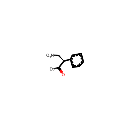 CCC(=O)[C@@H](C[N+](=O)[O-])c1ccccc1